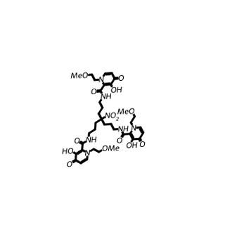 COCCn1ccc(=O)c(O)c1C(=O)NCCCC(CCCNC(=O)c1c(O)c(=O)ccn1CCOC)(CCCNC(=O)c1c(O)c(=O)ccn1CCOC)[N+](=O)[O-]